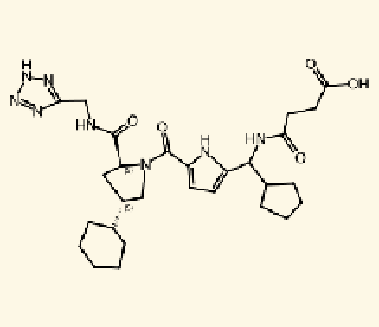 O=C(O)CCC(=O)NC(c1ccc(C(=O)N2C[C@H](C3CCCCC3)C[C@H]2C(=O)NCc2nn[nH]n2)[nH]1)C1CCCC1